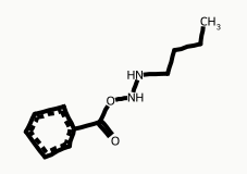 CCCCNNOC(=O)c1ccccc1